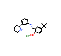 CC(C)(C)c1ccc(O)c(CNc2cccc([C@@H]3CCCCN3)c2)c1.Cl